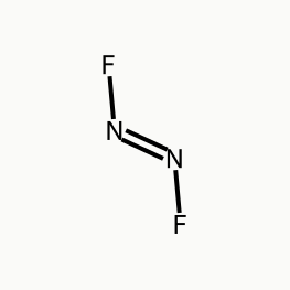 FN=NF